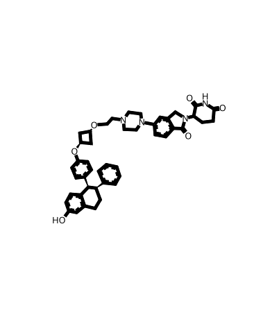 O=C1CCC(N2Cc3cc(N4CCN(CCO[C@H]5C[C@H](Oc6ccc([C@@H]7c8ccc(O)cc8CC[C@@H]7c7ccccc7)cc6)C5)CC4)ccc3C2=O)C(=O)N1